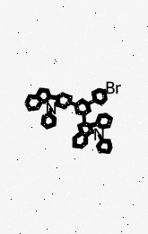 Brc1ccc(-c2cc(-c3ccc4c5ccc6ccccc6c5n(-c5ccccc5)c4c3)cc(-c3cc4ccccc4c4c3c3ccccc3n4-c3ccccc3)c2)cc1